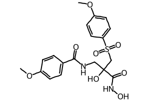 COc1ccc(C(=O)NCC(O)(CS(=O)(=O)c2ccc(OC)cc2)C(=O)NO)cc1